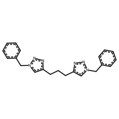 c1ccc(Cn2cc(CCCc3cn(Cc4ccccc4)nn3)nn2)cc1